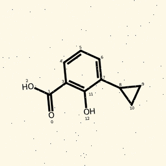 O=C(O)c1cccc(C2CC2)c1O